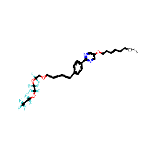 CCCCCCCOc1cnc(-c2ccc(CCCCOCC(F)(F)OC(F)(F)C(F)(F)OC(F)(F)C(F)(F)F)cc2)nc1